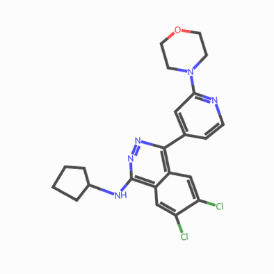 Clc1cc2c(NC3CCCC3)nnc(-c3ccnc(N4CCOCC4)c3)c2cc1Cl